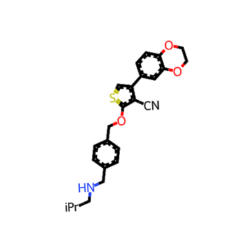 CC(C)CNCc1ccc(COc2scc(-c3ccc4c(c3)OCCO4)c2C#N)cc1